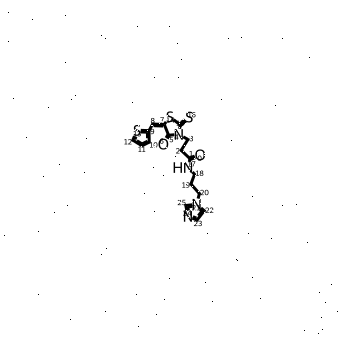 O=C(CCN1C(=O)/C(=C\c2cccs2)SC1=S)NCCCn1ccnc1